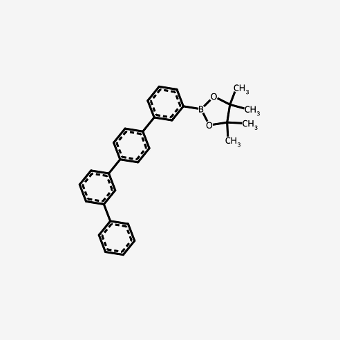 CC1(C)OB(c2cccc(-c3ccc(-c4cccc(-c5ccccc5)c4)cc3)c2)OC1(C)C